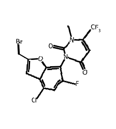 Cn1c(C(F)(F)F)cc(=O)n(-c2c(F)cc(Cl)c3cc(CBr)oc23)c1=O